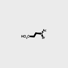 CC(=O)N(Br)CCC(=O)O